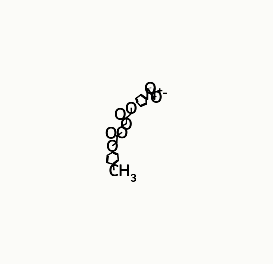 Cc1ccc(OCC(=O)OCOC(=O)COc2ccc([N+](=O)[O-])cc2)cc1